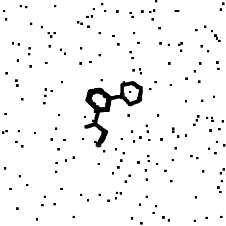 CC(C=O)c1cccc(N2CCCCC2)c1